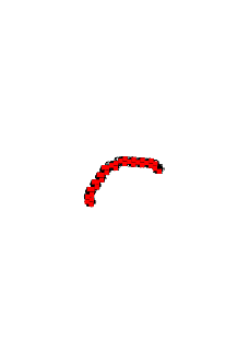 c1ccc(Oc2ccc(-[n+]3ccc(-c4cc[n+](-c5ccc(Oc6cccc(Oc7ccc(-[n+]8ccc(-c9cc[n+](-c%10ccc(Oc%11ccccc%11)cc%10)cc9)cc8)cc7)c6)cc5)cc4)cc3)cc2)cc1